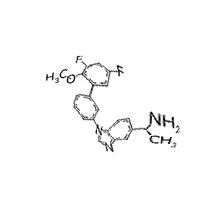 COc1c(F)cc(F)cc1-c1cccc(-n2cnc3cc([C@H](C)N)ccc32)c1